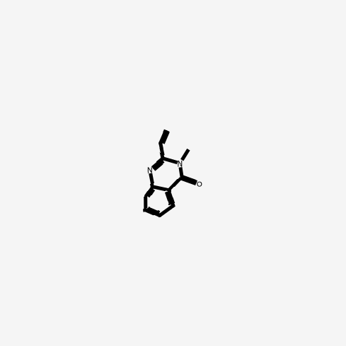 C=Cc1nc2ccccc2c(=O)n1C